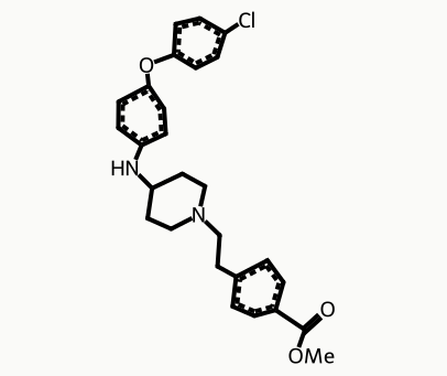 COC(=O)c1ccc(CCN2CCC(Nc3ccc(Oc4ccc(Cl)cc4)cc3)CC2)cc1